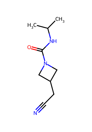 CC(C)NC(=O)N1CC(CC#N)C1